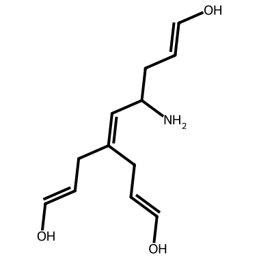 NC(C=C(CC=CO)CC=CO)CC=CO